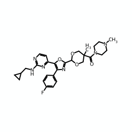 CN1CCN(C(=O)C2(C)COC(c3nc(-c4ccc(F)cc4)c(-c4ccnc(NCC5CC5)n4)o3)OC2)CC1